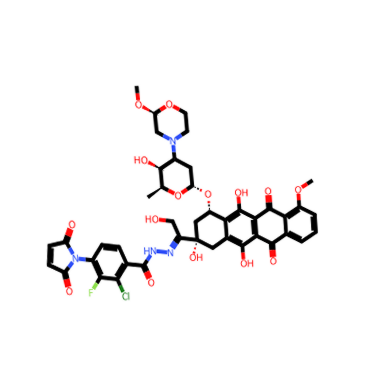 COc1cccc2c1C(=O)c1c(O)c3c(c(O)c1C2=O)C[C@@](O)(/C(CO)=N/NC(=O)c1ccc(N2C(=O)C=CC2=O)c(F)c1Cl)C[C@@H]3O[C@H]1CC(N2CCO[C@H](OC)C2)[C@H](O)[C@H](C)O1